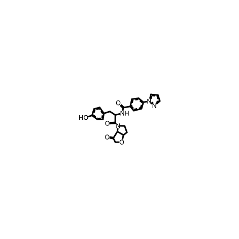 O=C(NC(Cc1ccc(O)cc1)C(=O)N1CCC2OCC(=O)C21)c1ccc(-n2cccn2)cc1